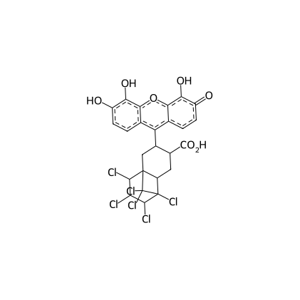 O=C(O)C1CC2C3(Cl)C(Cl)C(Cl)C(Cl)C2(CC1c1c2ccc(=O)c(O)c-2oc2c(O)c(O)ccc12)C3(Cl)Cl